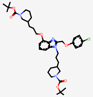 CC(C)(C)OC(=O)N1CCCC(CCCOc2cccc3c2nc(COc2ccc(Cl)cc2)n3CCCC2CCCN(C(=O)OC(C)(C)C)C2)C1